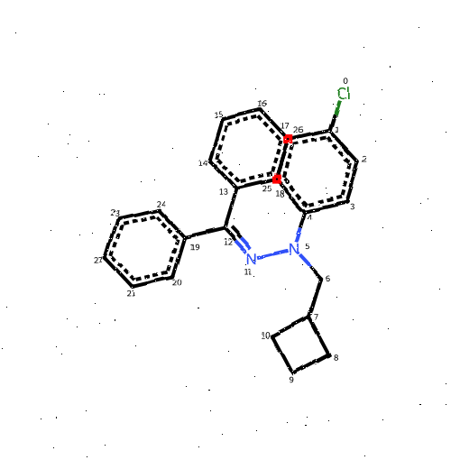 Clc1ccc(N(CC2CCC2)N=C(c2ccccc2)c2ccccc2)cc1